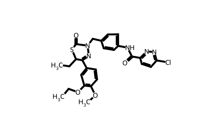 CCOc1cc(C2=NN(Cc3ccc(NC(=O)c4ccc(Cl)nn4)cc3)C(=O)SC2CC)ccc1OC